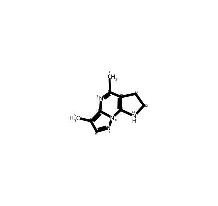 Cc1nc2c(C)cnn2c2c1CCN2